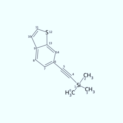 C[Si](C)(C)C#Cc1ccc2ccsc2c1